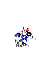 COC(=O)c1ccc(C)c(Nc2nc(N[C@H]3CCNC3)nc(N(C)CC(C)(C)C)n2)c1